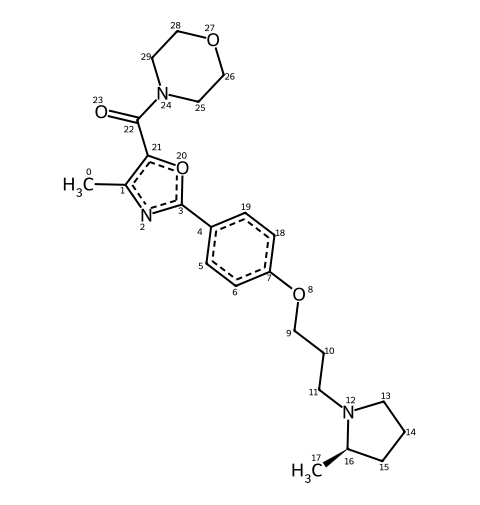 Cc1nc(-c2ccc(OCCCN3CCC[C@H]3C)cc2)oc1C(=O)N1CCOCC1